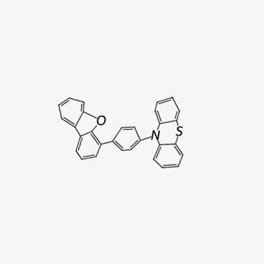 c1ccc2c(c1)Sc1ccccc1N2c1ccc(-c2cccc3c2oc2ccccc23)cc1